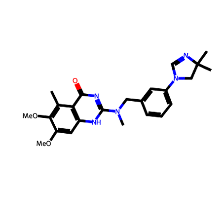 COc1cc2[nH]c(N(C)Cc3cccc(N4C=NC(C)(C)C4)c3)nc(=O)c2c(C)c1OC